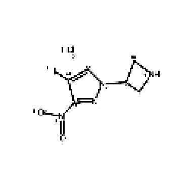 Cl.O=[N+]([O-])c1nn(C2CNC2)cc1I